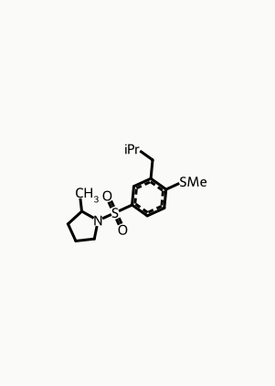 CSc1ccc(S(=O)(=O)N2CCCC2C)cc1CC(C)C